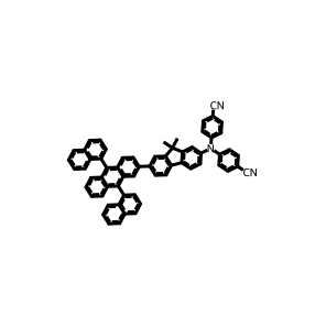 CC1(C)c2cc(-c3ccc4c(-c5cccc6ccccc56)c5ccccc5c(-c5cccc6ccccc56)c4c3)ccc2-c2ccc(N(c3ccc(C#N)cc3)c3ccc(C#N)cc3)cc21